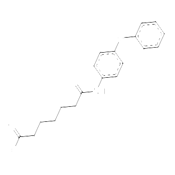 O=C(CCCCCC(=O)C(F)(F)F)Nc1ccc(Oc2ccccc2)cc1